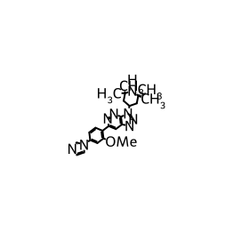 COc1cc(-n2ccnc2)ccc1-c1cc2nnn(C3CC(C)(C)NC(C)(C)C3)c2nn1